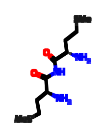 CSCC[C@H](N)C(=O)NC(=O)[C@@H](N)CCSC